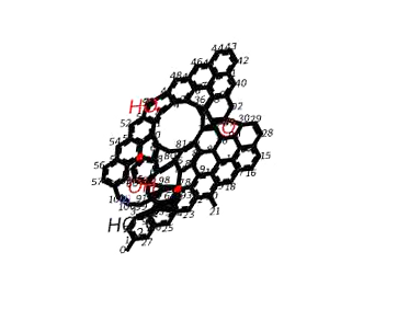 Cc1cc2c3c4c5c6c7c8c9c%10c%11c%12c(ccc%11cc9c(C)c7cc5cc3c1)C=CC1C3=C5C7=C9CC%11C5=c5c(cc%13cccc%14cc%15cc%16cc%17cc%18cc%19ccc%20c(O)c%19c%19c%21cc%22c(c%23c%21c(c(c%17c(O)c%16c%11c%15c5c%13%14)c%18%19)CC5=C9C(=C8C6C=%235)C%10C75OC%1215)C4c1c-2cc(C(=O)O)c(c1-%22)C/C=C\%20)C3